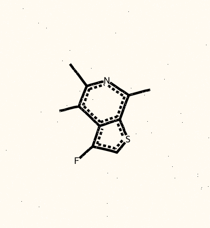 Cc1nc(C)c2scc(F)c2c1C